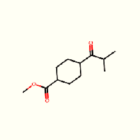 COC(=O)C1CCC(C(=O)C(C)C)CC1